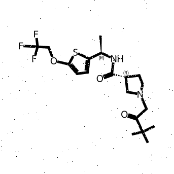 C[C@@H](NC(=O)[C@@H]1CCN(CC(=O)C(C)(C)C)C1)c1ccc(OCC(F)(F)F)s1